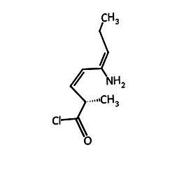 CC/C=C(N)\C=C/[C@H](C)C(=O)Cl